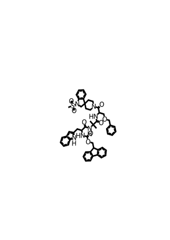 CC(C)(NC(=O)C(Cc1cc2ccccc2[nH]1)NC(=O)OCC1c2ccccc2-c2ccccc21)C(=O)NC(COCc1ccccc1)C(=O)N1CCC2(CC1)CN(S(C)(=O)=O)c1ccccc12